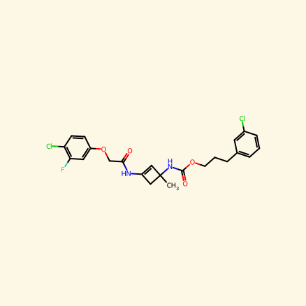 CC1(NC(=O)OCCCc2cccc(Cl)c2)C=C(NC(=O)COc2ccc(Cl)c(F)c2)C1